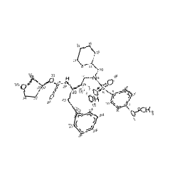 COc1ccc(S(=O)(=O)N(CC2CCCCC2)C[C@H](O)C(Cc2ccccc2)NC(=O)O[C@H]2CCOC2)cc1